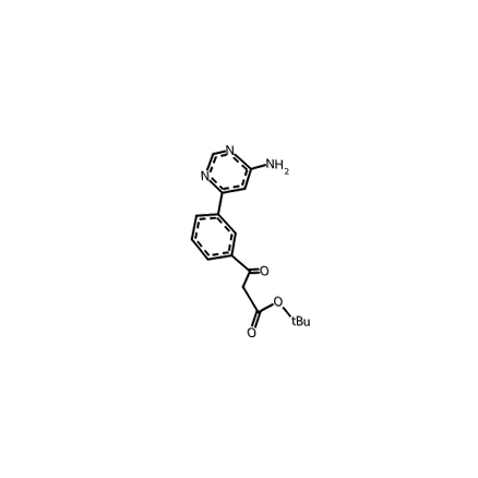 CC(C)(C)OC(=O)CC(=O)c1cccc(-c2cc(N)ncn2)c1